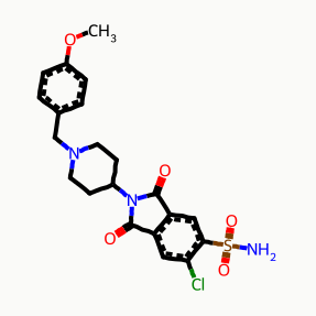 COc1ccc(CN2CCC(N3C(=O)c4cc(Cl)c(S(N)(=O)=O)cc4C3=O)CC2)cc1